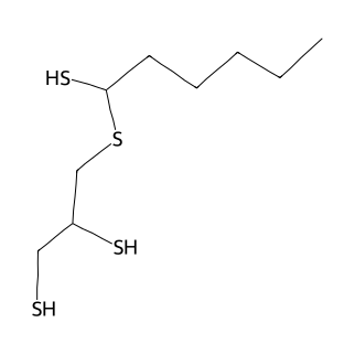 CCCCCC(S)SCC(S)CS